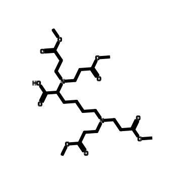 COC(=O)CCN(CCCCC(C(=O)O)N(CCC(=O)OC)CCC(=O)OC)CCC(=O)OC